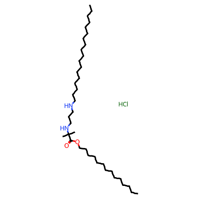 CCCCCCCCCCCCCCCCCCNCCCNC(C)(C)C(=O)OCCCCCCCCCCCCCC.Cl